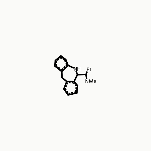 CCC(NC)C1Nc2ccccc2Cc2ccccc21